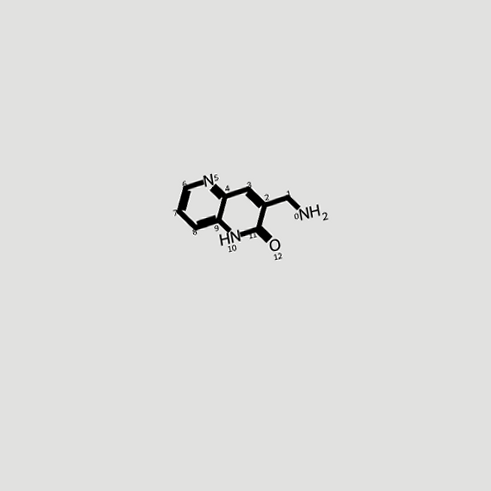 NCc1cc2ncccc2[nH]c1=O